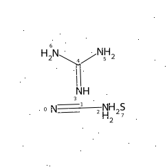 N#CN.N=C(N)N.S